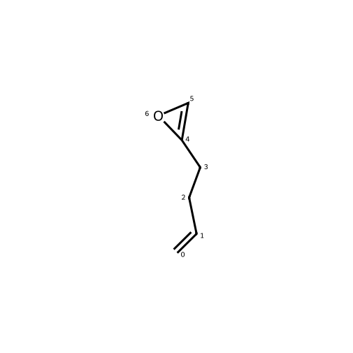 C=CCCC1=CO1